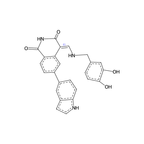 O=C1NC(=O)c2ccc(-c3ccc4[nH]ccc4c3)cc2/C1=C\NCc1ccc(O)c(O)c1